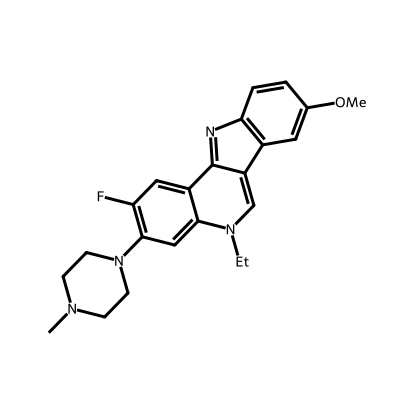 CCn1cc2c3cc(OC)ccc3nc-2c2cc(F)c(N3CCN(C)CC3)cc21